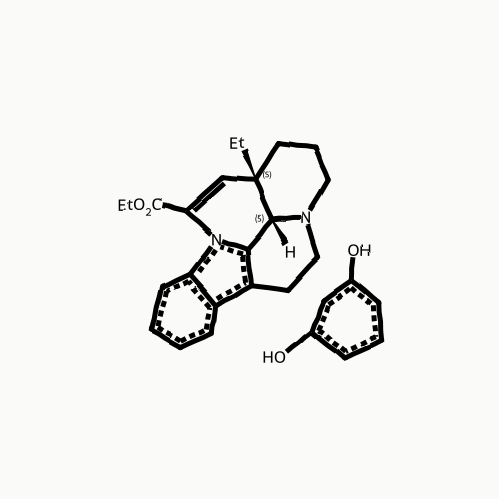 CCOC(=O)C1=C[C@]2(CC)CCCN3CCc4c(n1c1ccccc41)[C@@H]32.Oc1cccc(O)c1